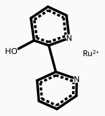 Oc1cccnc1-c1ccccn1.[Ru+2]